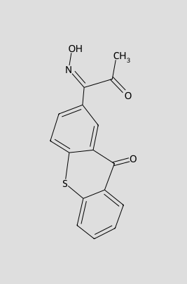 CC(=O)C(=NO)c1ccc2sc3ccccc3c(=O)c2c1